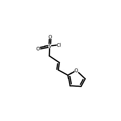 O=S(=O)(Cl)CC=Cc1ccco1